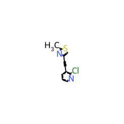 Cc1nc(C#Cc2cccnc2Cl)cs1